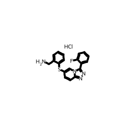 Cl.NCc1ccccc1Sc1ccc2nnc(-c3ccccc3F)n2c1